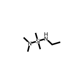 CCN[Si](C)(C)N(C)C